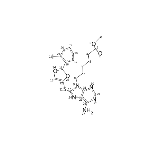 COC(=O)CCCCCn1c(SC2=COC(c3ccccc3I)O2)nc2c(N)ncnc21